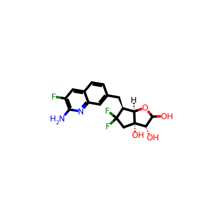 Nc1nc2cc(C[C@H]3[C@H]4OC(O)[C@H](O)[C@@]4(O)CC3(F)F)ccc2cc1F